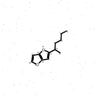 CCCCC(C)c1cc2occc2o1